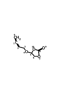 C=C=CCOC1COC(=O)O1